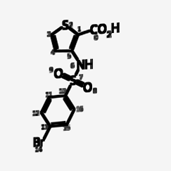 O=C(O)c1sccc1NS(=O)(=O)c1ccc(Br)cc1